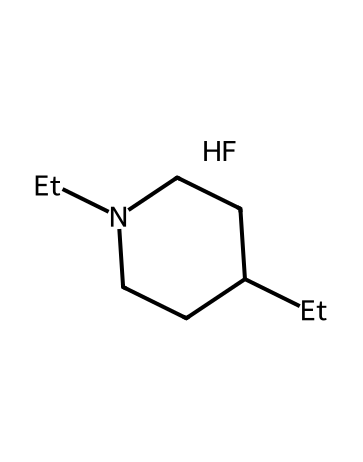 CCC1CCN(CC)CC1.F